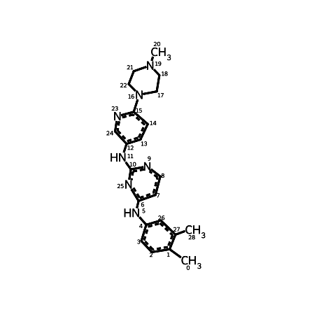 Cc1ccc(Nc2ccnc(Nc3ccc(N4CCN(C)CC4)nc3)n2)cc1C